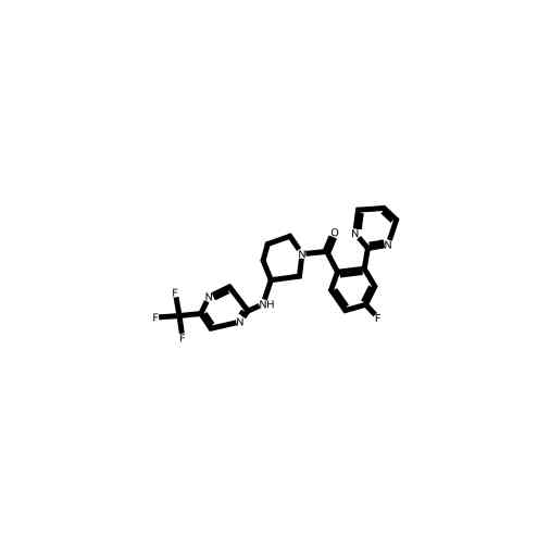 O=C(c1ccc(F)cc1-c1ncccn1)N1CCCC(Nc2cnc(C(F)(F)F)cn2)C1